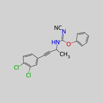 CC(C#Cc1ccc(Cl)c(Cl)c1)N/C(=N\C#N)Oc1ccccc1